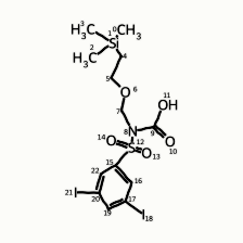 C[Si](C)(C)CCOCN(C(=O)O)S(=O)(=O)c1cc(I)cc(I)c1